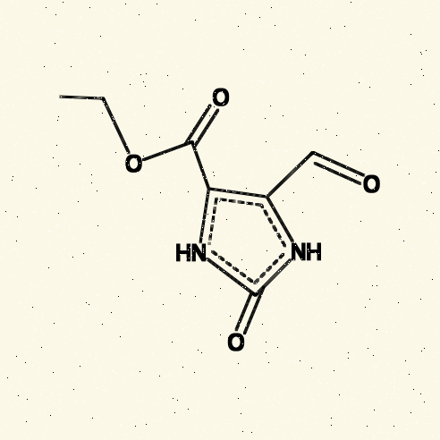 CCOC(=O)c1[nH]c(=O)[nH]c1C=O